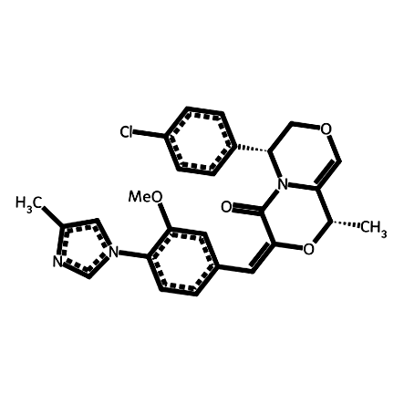 COc1cc(C=C2O[C@@H](C)C3=COC[C@@H](c4ccc(Cl)cc4)N3C2=O)ccc1-n1cnc(C)c1